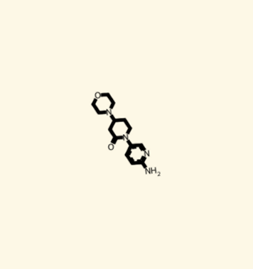 Nc1ccc(N2CCC(N3CCOCC3)CC2=O)cn1